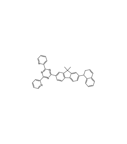 CC1(C)c2cc(-c3nc(-c4ccccn4)nc(-c4ccccn4)n3)ccc2-c2ccc(C3CC=Cc4ccccc43)cc21